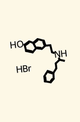 Br.CC(CCc1ccccc1)NCCc1ccc2cc(O)ccc2c1